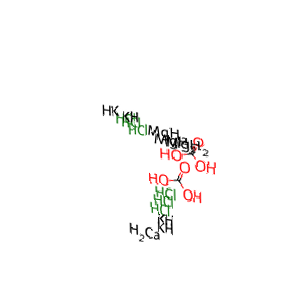 Cl.Cl.Cl.Cl.Cl.Cl.O=C(O)O.O=C(O)O.[CaH2].[KH].[KH].[KH].[KH].[MgH2].[MgH2].[MgH2]